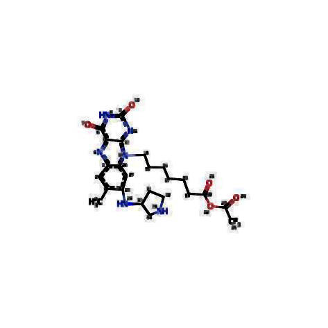 Cc1cc2nc3c(=O)[nH]c(=O)nc-3n(CCCCCCC(=O)OC(=O)C(F)(F)F)c2cc1N[C@H]1CCNC1